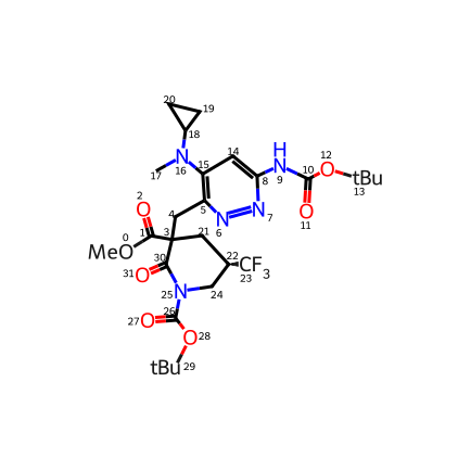 COC(=O)C1(Cc2nnc(NC(=O)OC(C)(C)C)cc2N(C)C2CC2)C[C@@H](C(F)(F)F)CN(C(=O)OC(C)(C)C)C1=O